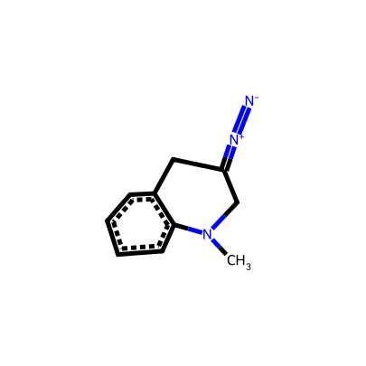 CN1CC(=[N+]=[N-])Cc2ccccc21